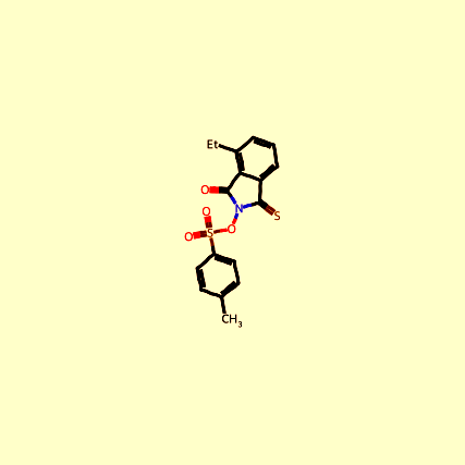 CCc1cccc2c1C(=O)N(OS(=O)(=O)c1ccc(C)cc1)C2=S